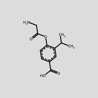 CC(C)c1cc(C(=O)O)ccc1OC(=O)CN